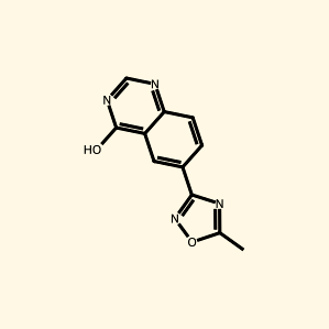 Cc1nc(-c2ccc3ncnc(O)c3c2)no1